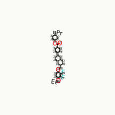 CCCc1ccc(OC(=O)c2ccc(C3CCC4CC(COc5ccc(OCC)c(F)c5F)CCC4C3)cc2)cc1